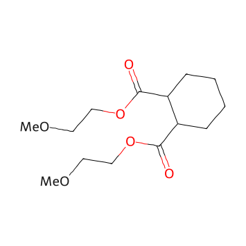 COCCOC(=O)C1CCCCC1C(=O)OCCOC